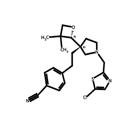 CC1(C)CO[C@@H]1[C@]1(CCc2ccc(C#N)cc2)CCN(Cc2ncc(Cl)s2)C1